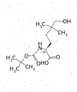 CC(C)(CO)CC[C@H](NC(=O)OC(C)(C)C)C(=O)O